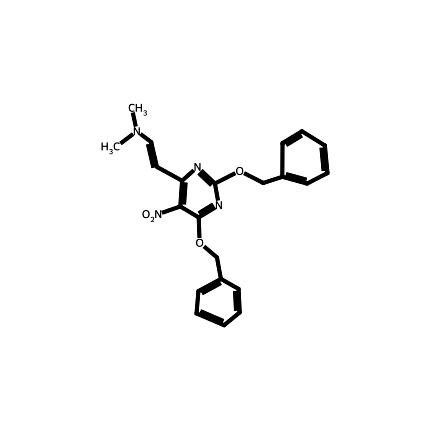 CN(C)/C=C/c1nc(OCc2ccccc2)nc(OCc2ccccc2)c1[N+](=O)[O-]